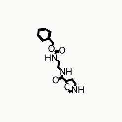 O=C(NCCNC(=O)C1CCNCC1)OCc1ccccc1